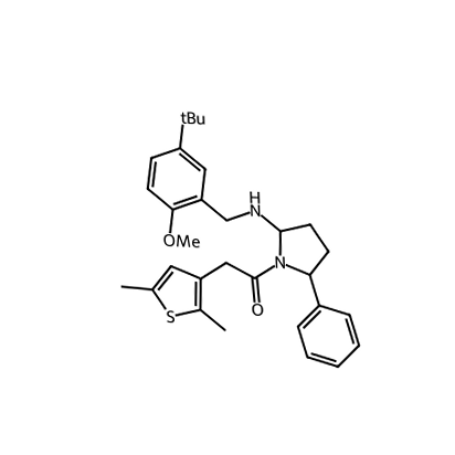 COc1ccc(C(C)(C)C)cc1CNC1CCC(c2ccccc2)N1C(=O)Cc1cc(C)sc1C